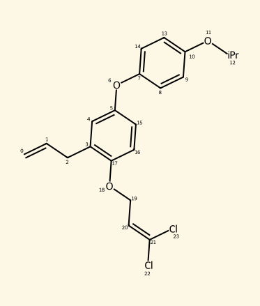 C=CCc1cc(Oc2ccc(OC(C)C)cc2)ccc1OCC=C(Cl)Cl